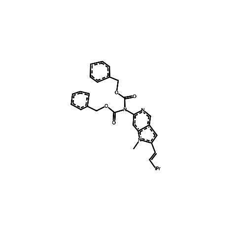 CC(C)/C=C/c1cc2cnc(N(C(=O)OCc3ccccc3)C(=O)OCc3ccccc3)cc2n1C